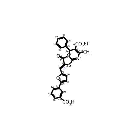 CCOC(=O)C1=C(C)N=c2s/c(=C\c3ccc(-c4cccc(C(=O)O)c4)o3)c(=O)n2C1c1ccccc1